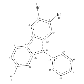 CCc1ccc2c3cc(Br)c(Br)cc3n(-c3ccccc3)c2c1